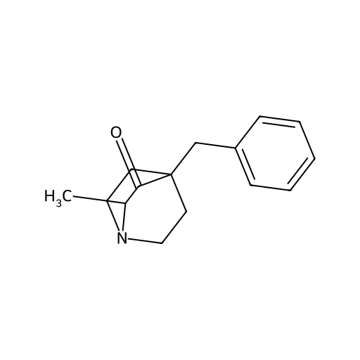 CC1C(=O)C2(Cc3ccccc3)CCN1CC2